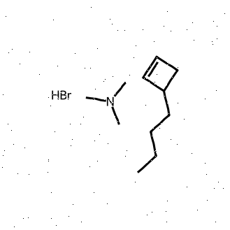 Br.CCCCC1C=CC1.CN(C)C